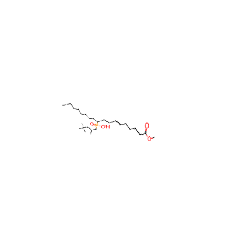 CCCCCCCCC(CCCCCCCCC(=O)OC)P(=O)(O)CC(C)CC(C)(C)C